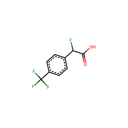 O=C(O)C(F)c1ccc(C(F)(F)F)cc1